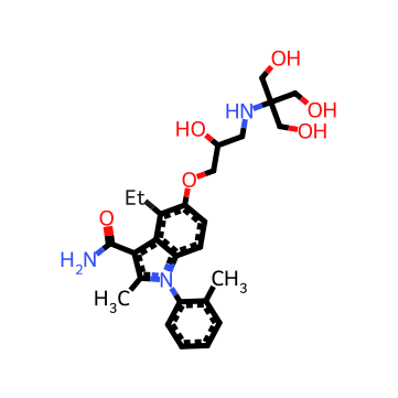 CCc1c(OCC(O)CNC(CO)(CO)CO)ccc2c1c(C(N)=O)c(C)n2-c1ccccc1C